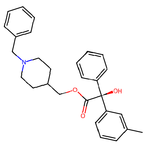 Cc1cccc([C@](O)(C(=O)OCC2CCN(Cc3ccccc3)CC2)c2ccccc2)c1